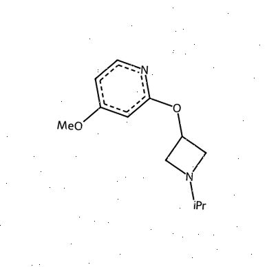 COc1ccnc(OC2CN(C(C)C)C2)c1